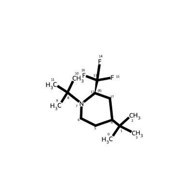 CC(C)(C)C1CCN(C(C)(C)C)[C@@H](C(F)(F)F)C1